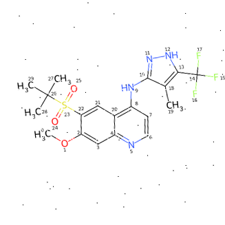 COc1cc2nccc(Nc3n[nH]c(C(F)(F)F)c3C)c2cc1S(=O)(=O)C(C)(C)C